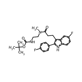 CN(CCNC(=O)OC(C)(C)C)C(=O)CCc1c(-c2ccc(F)cc2)[nH]c2ccc(F)cc12